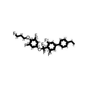 CCc1ccc(-c2cc(F)c(C(F)(F)Oc3cc(F)c(OCCCF)c(F)c3)c(F)c2)cc1